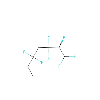 [CH2]CC(F)(F)CC(F)(F)[C@@H](F)C(F)F